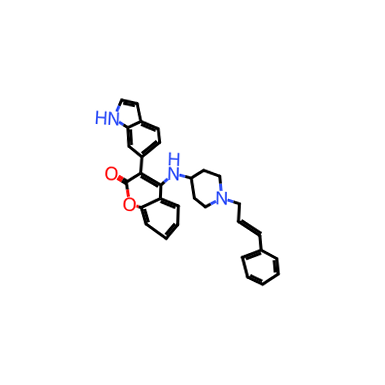 O=c1oc2ccccc2c(NC2CCN(CC=Cc3ccccc3)CC2)c1-c1ccc2cc[nH]c2c1